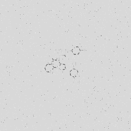 Cc1cc(-c2cc3n(CC(=O)Nc4ccc(F)cn4)c(=O)c4cccnc4n3n2)c(C)cn1